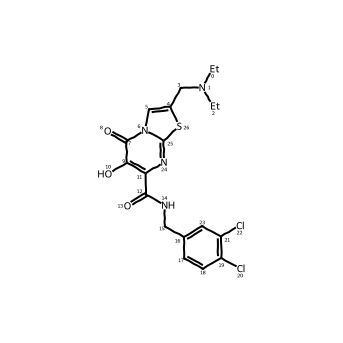 CCN(CC)Cc1cn2c(=O)c(O)c(C(=O)NCc3ccc(Cl)c(Cl)c3)nc2s1